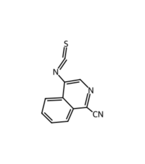 N#Cc1ncc(N=C=S)c2ccccc12